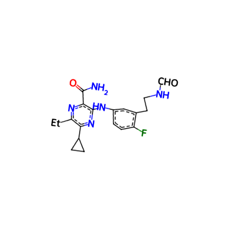 CCc1nc(C(N)=O)c(Nc2ccc(F)c(CCNC=O)c2)nc1C1CC1